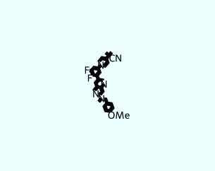 COc1ccc(CN(C)c2cc3ncc(-c4cc(N5C=CC(C(C)(C)C#N)=CC5)cc(F)c4F)cc3cn2)cc1